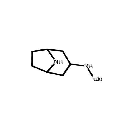 CC(C)(C)NC1CC2CCC(C1)N2